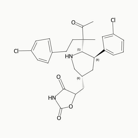 CC(=O)C(C)(CCc1ccc(Cl)cc1)[C@H]1NC[C@@H](CC2OC(=O)NC2=O)C[C@@H]1c1cccc(Cl)c1